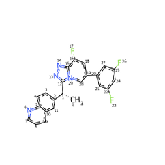 C[C@H](c1ccc2ncccc2c1)c1nnc2c(F)cc(-c3cc(F)cc(F)c3)cn12